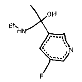 CCNC(C)(O)c1cncc(F)c1